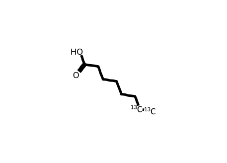 [13CH3][13CH2]CCCCCC(=O)O